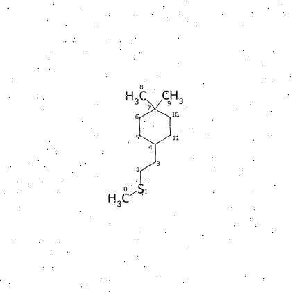 CSCCC1CCC(C)(C)CC1